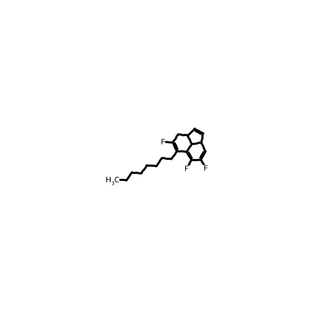 CCCCCCCCC1=C(F)CC2C=CC3C=C(F)C(F)=C1C32